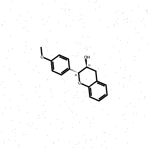 COc1ccc([C@H]2Oc3ccccc3C[C@@H]2O)cc1